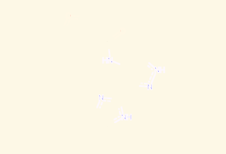 Cc1occc1C(=O)Nc1c[nH]nc1-c1nc2ccccc2[nH]1